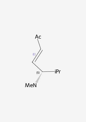 CN[C@H](/C=C/C(C)=O)C(C)C